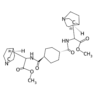 COC(=O)C(NC(=O)[C@H]1CC[C@H](C(=O)NC(C(=O)OC)[C@H]2CN3CCC2CC3)CC1)[C@H]1CCN2CCC1CC2